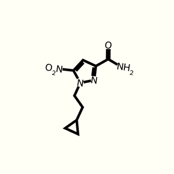 NC(=O)c1cc([N+](=O)[O-])n(CCC2CC2)n1